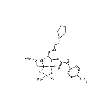 CCCCCCCOC[C@@]12O[C@@H](CNCCN3CCCC3)[C@@H](OC(=O)Nc3ccc(C)cc3)[C@@H]1OC(C)(C)O2